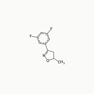 CC1CC(c2cc(F)cc(F)c2)=NO1